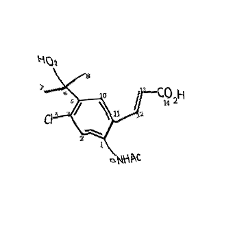 CC(=O)Nc1cc(Cl)c(C(C)(C)O)cc1C=CC(=O)O